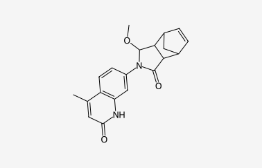 COC1C2C3C=CC(C3)C2C(=O)N1c1ccc2c(C)cc(=O)[nH]c2c1